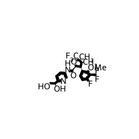 COc1c([C@@H]2[C@@H](C(=O)Nc3ccc([C@H](O)CO)nc3)O[C@](C)(C(F)(F)F)[C@@H]2C)ccc(F)c1C(F)F